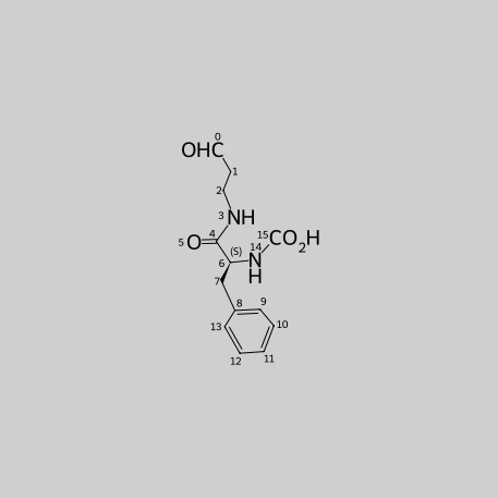 O=CCCNC(=O)[C@H](Cc1ccccc1)NC(=O)O